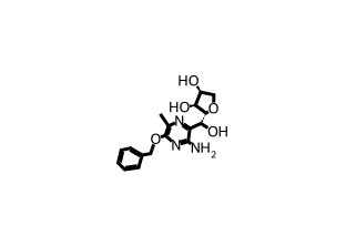 Cc1nc(C(O)[C@H]2OC[C@H](O)[C@@H]2O)c(N)nc1OCc1ccccc1